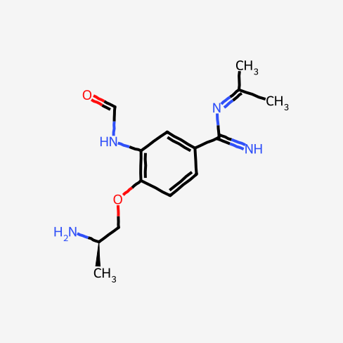 CC(C)=NC(=N)c1ccc(OC[C@@H](C)N)c(NC=O)c1